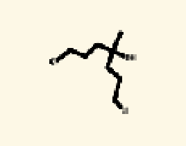 CC(O)(CCCCl)CCCCl